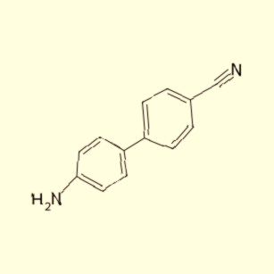 N#Cc1ccc(-c2ccc(N)cc2)cc1